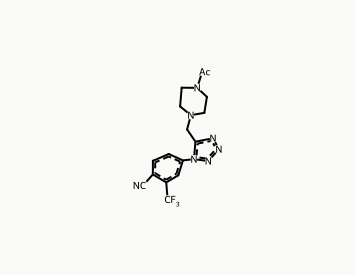 CC(=O)N1CCN(Cc2nnnn2-c2ccc(C#N)c(C(F)(F)F)c2)CC1